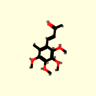 COc1c(C)c(C=CC(C)=O)c(OC)c(OC)c1OC